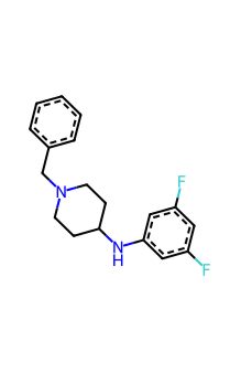 Fc1cc(F)cc(NC2CCN(Cc3ccccc3)CC2)c1